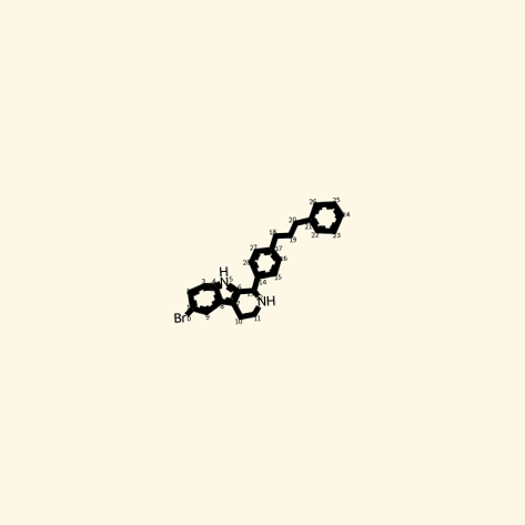 Brc1ccc2[nH]c3c(c2c1)CCNC3c1ccc(CCCc2ccccc2)cc1